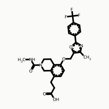 CNC(=O)N1CCc2c(OCc3oc(-c4ccc(C(F)(F)F)cc4)nc3C)ccc(CCC(=O)O)c2C1